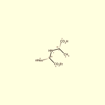 CCCCCC[C@H](N[C@@H](C)C(=O)O)C(=O)OCC